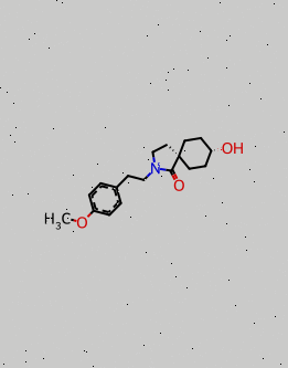 COc1ccc(CCN2CC[C@]3(CC[C@@H](O)CC3)C2=O)cc1